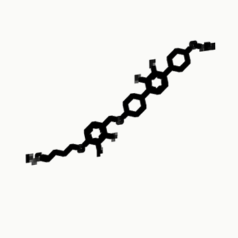 C=CCCCOc1ccc(COC2CCC(c3ccc(C4CCC(OCCCC)CC4)c(F)c3F)CC2)c(F)c1F